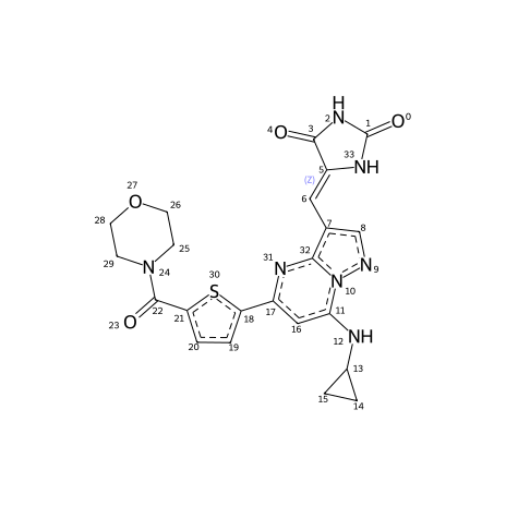 O=C1NC(=O)/C(=C/c2cnn3c(NC4CC4)cc(-c4ccc(C(=O)N5CCOCC5)s4)nc23)N1